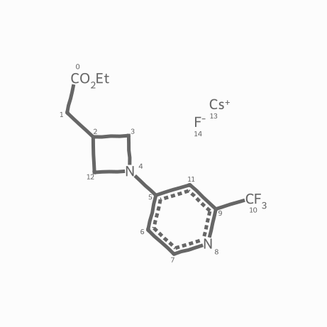 CCOC(=O)CC1CN(c2ccnc(C(F)(F)F)c2)C1.[Cs+].[F-]